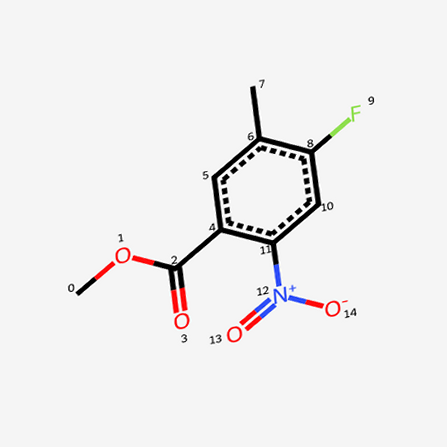 COC(=O)c1cc(C)c(F)cc1[N+](=O)[O-]